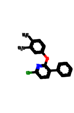 Cc1ccc(Oc2nc(Cl)ccc2-c2ccccc2)cc1[N+](=O)[O-]